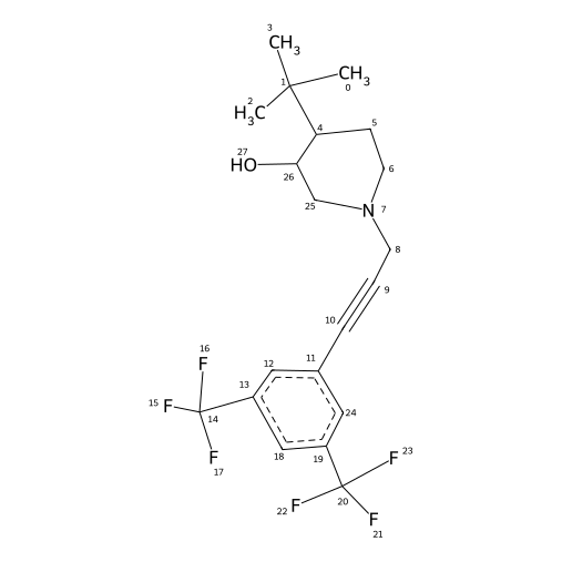 CC(C)(C)C1CCN(CC#Cc2cc(C(F)(F)F)cc(C(F)(F)F)c2)CC1O